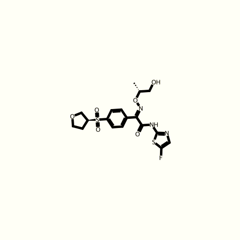 C[C@H](CO)O/N=C(/C(=O)Nc1ncc(F)s1)c1ccc(S(=O)(=O)[C@H]2CCOC2)cc1